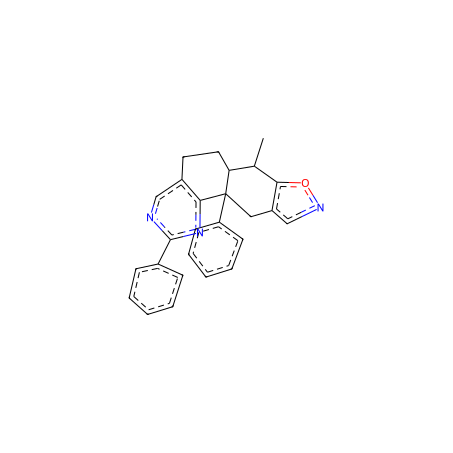 CC1c2oncc2CC2(c3ccccc3)c3nc(-c4ccccc4)ncc3CCC12